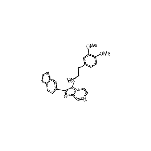 COc1ccc(CCNc2c(-c3ccc4nccn4c3)nc3cnccn23)cc1OC